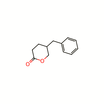 O=C1CCC(Cc2ccccc2)CO1